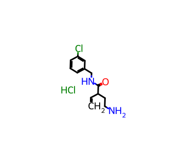 C=CC(CCN)C(=O)NCc1cccc(Cl)c1.Cl